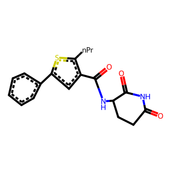 CCCc1sc(-c2ccccc2)cc1C(=O)NC1CCC(=O)NC1=O